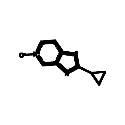 [O-][n+]1ccc2sc(C3CC3)nc2c1